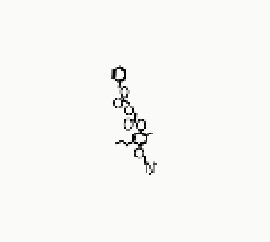 CCCc1cc(OC(=O)COCC(=O)OCc2ccccc2)c(C)cc1OCCN(C)C